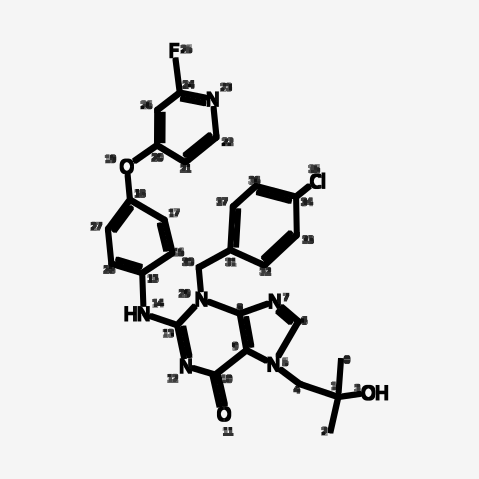 CC(C)(O)Cn1cnc2c1c(=O)nc(Nc1ccc(Oc3ccnc(F)c3)cc1)n2Cc1ccc(Cl)cc1